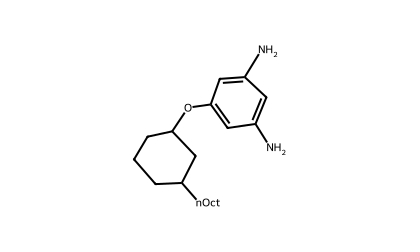 CCCCCCCCC1CCCC(Oc2cc(N)cc(N)c2)C1